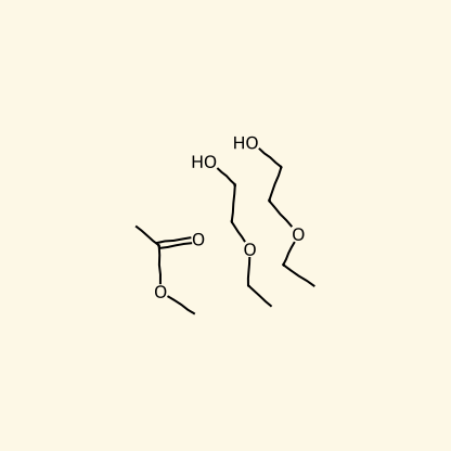 CCOCCO.CCOCCO.COC(C)=O